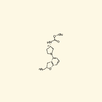 CCCC1Cc2c(cccc2N2CC[C@H](NC(=O)OC(C)(C)C)C2)O1